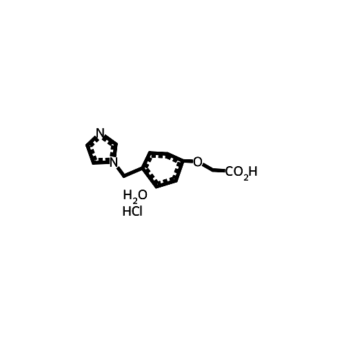 Cl.O.O=C(O)COc1ccc(Cn2ccnc2)cc1